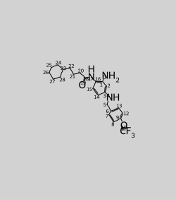 Nc1cc(NCc2ccc(OC(F)(F)F)cc2)ccc1NC(=O)CCCC1CCCCC1